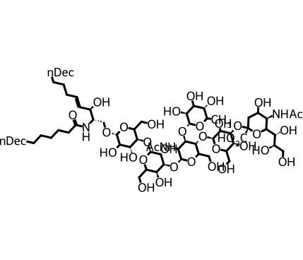 CCCCCCCCCCCCC/C=C/[C@@H](O)[C@H](CO[C@@H]1OC(CO)[C@@H](O[C@@H]2OC(CO)[C@H](O)[C@H](O[C@@H]3OC(CO)[C@@H](O[C@@H]4OC(CO)[C@H](O)[C@H](O[C@]5(C(=O)O)CC(O)[C@@H](NC(C)=O)C([C@H](O)[C@H](O)CO)O5)C4O)[C@H](O[C@H]4OC(C)[C@@H](O)C(O)[C@@H]4O)C3NC(C)=O)C2O)[C@H](O)C1O)NC(=O)CCCCCCCCCCCCCCC